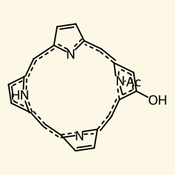 CC(=O)n1c2cc3nc(cc4ccc(cc5nc(cc1c(O)c2)C=C5)[nH]4)C=C3